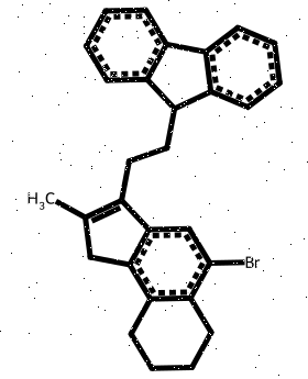 CC1=C(CCC2c3ccccc3-c3ccccc32)c2cc(Br)c3c(c2C1)CCCC3